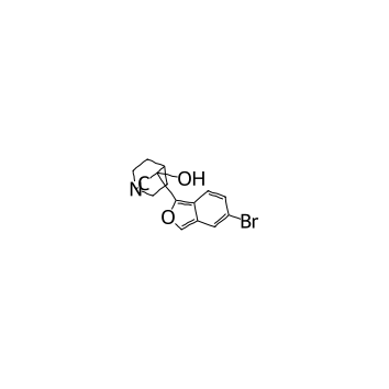 OC1(c2occ3cc(Br)ccc23)CN2CCC1CC2